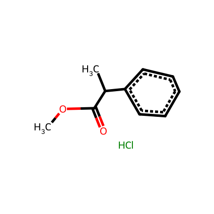 COC(=O)C(C)c1ccccc1.Cl